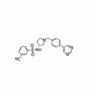 N#Cc1cccc(S(=O)(=O)N[C@@H]2CCN(Cc3ccc(-c4cncnc4)cc3)C2)c1